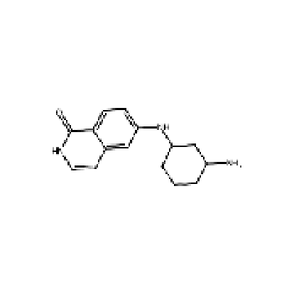 NC1CCCC(Nc2ccc3c(=O)[nH]ccc3c2)C1